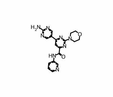 Nc1ncc(-c2cc(C(=O)Nc3cccnc3)nc(N3CCOCC3)n2)cn1